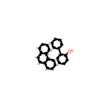 Oc1ccccc1-c1ccccc1.c1ccc2c(c1)ccc1ccccc12